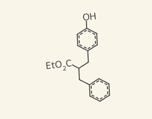 CCOC(=O)C(Cc1ccccc1)Cc1ccc(O)cc1